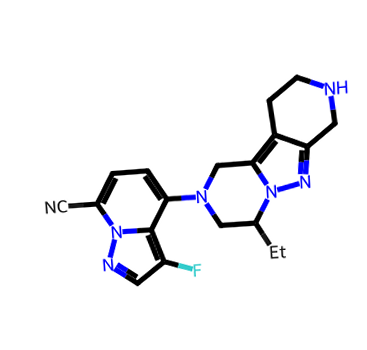 CCC1CN(c2ccc(C#N)n3ncc(F)c23)Cc2c3c(nn21)CNCC3